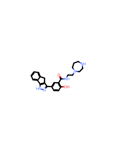 O=C(NCCN1CCCNCC1)c1cc(-c2n[nH]c3c2Cc2ccccc2-3)ccc1O